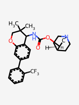 CC1(C)COc2cc(-c3ccccc3C(F)(F)F)ccc2C1NC(=O)O[C@H]1CN2CCC1CC2